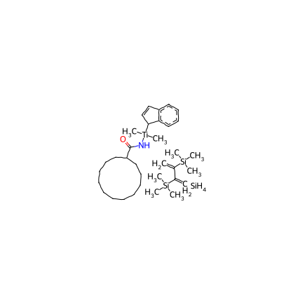 C=C(C(=C)[Si](C)(C)C)[Si](C)(C)C.[CH3][Ti]([CH3])([NH]C(=O)C1CCCCCCCCCCC1)[CH]1C=Cc2ccccc21.[SiH4]